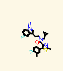 Cc1nc(C(=O)N(CCc2c[nH]c3ccc(F)cc23)CC2CC2)c(-c2ccc(F)c(C)c2)s1